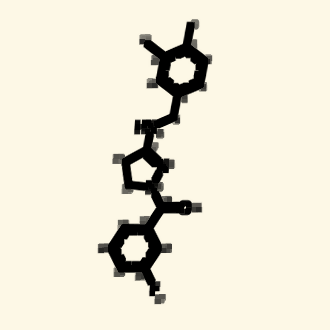 Cc1ccc(CNC2=NN(C(=O)c3cccc(F)c3)CC2)cc1C